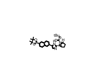 CC(C)(C)OC(=O)N1[C@@H]2CCC(C2)[C@H]1c1ncc(-c2ccc3cc(B4OC(C)(C)C(C)(C)O4)ccc3c2)[nH]1